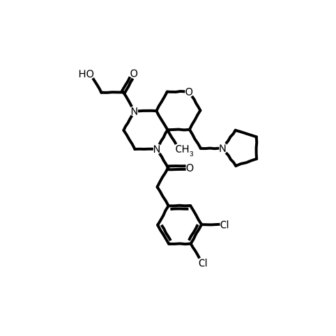 CC12C(CN3CCCC3)COCC1N(C(=O)CO)CCN2C(=O)Cc1ccc(Cl)c(Cl)c1